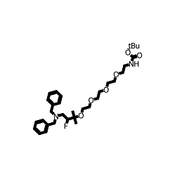 CC(C)(C)OC(=O)NCCOCCOCCOCCOC(C)(C)C(F)CN(Cc1ccccc1)Cc1ccccc1